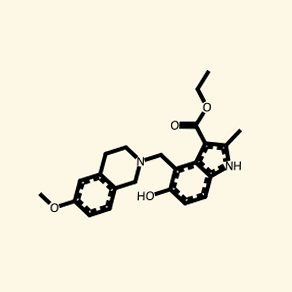 CCOC(=O)c1c(C)[nH]c2ccc(O)c(CN3CCc4cc(OC)ccc4C3)c12